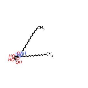 CCCCCCCCCCCCCCCCCCNC(=O)N(CCCCCCCCCCCCCCCCCC)[C@@H]1O[C@H](CO)[C@H](O)[C@H](O)[C@@H]1N